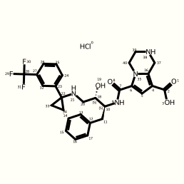 Cl.O=C(O)c1cc(C(=O)N[C@@H](Cc2ccccc2)[C@@H](O)CNC2(c3cccc(C(F)(F)F)c3)CC2)n2c1CNCC2